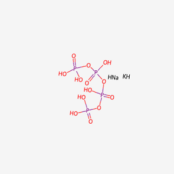 O=P(O)(O)OP(=O)(O)OP(=O)(O)OP(=O)(O)O.[KH].[NaH]